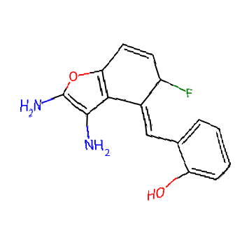 Nc1oc2c(c1N)C(=Cc1ccccc1O)C(F)C=C2